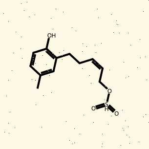 Cc1ccc(O)c(CC/C=C\CO[SH](=O)=O)c1